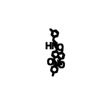 Cc1cccc(CCNC(=O)c2ccc3c4c(ccc(C)c24)C(=O)N(C2CCC(C)CC2)C3=O)c1